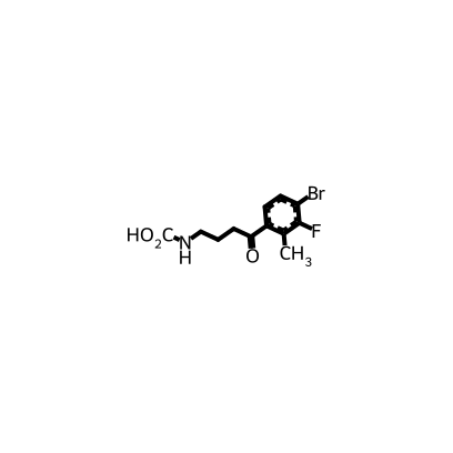 Cc1c(C(=O)CCCNC(=O)O)ccc(Br)c1F